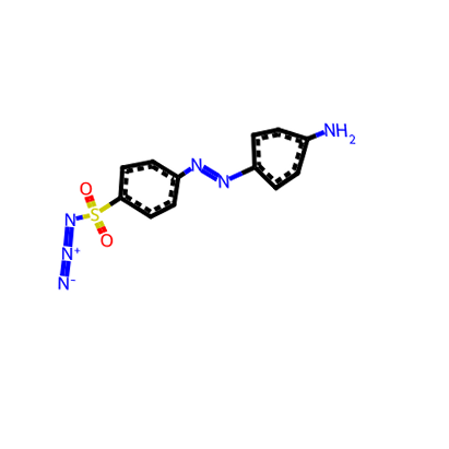 [N-]=[N+]=NS(=O)(=O)c1ccc(N=Nc2ccc(N)cc2)cc1